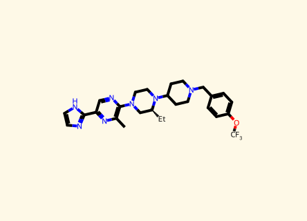 CC[C@H]1CN(c2ncc(-c3ncc[nH]3)nc2C)CCN1C1CCN(Cc2ccc(OC(F)(F)F)cc2)CC1